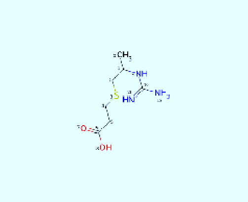 CC(CSCCC(=O)O)NC(=N)N